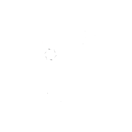 CC(C)(CCCCCc1cc(CCCCCC(C)(C)C(=O)O)c(O)c(O)c1O)C(=O)O